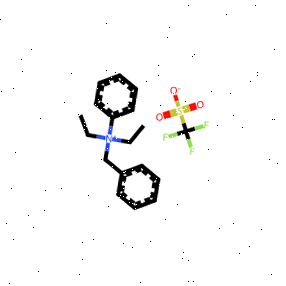 CC[N+](CC)(Cc1ccccc1)c1ccccc1.O=S(=O)([O-])C(F)(F)F